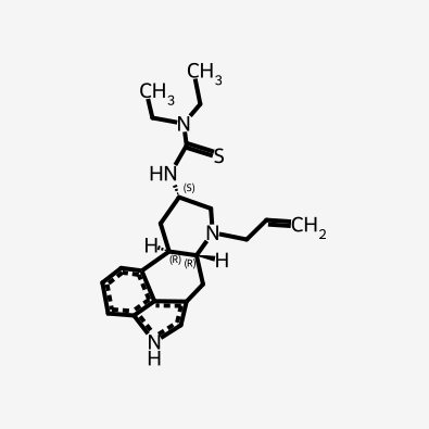 C=CCN1C[C@@H](NC(=S)N(CC)CC)C[C@@H]2c3cccc4[nH]cc(c34)C[C@H]21